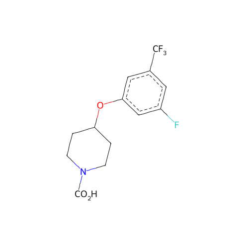 O=C(O)N1CCC(Oc2cc(F)cc(C(F)(F)F)c2)CC1